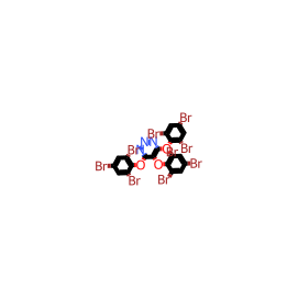 Brc1cc(Br)c(Oc2nnnc(Oc3c(Br)cc(Br)cc3Br)c2Oc2c(Br)cc(Br)cc2Br)c(Br)c1